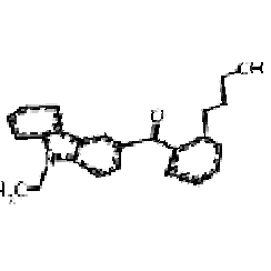 CCCCc1ccccc1C(=O)c1ccc2c(c1)c1c[c]ccc1n2CC